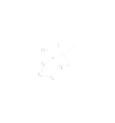 CC1(S(=O)(=O)Cl)N=NN=N1